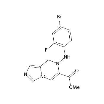 COC(=O)C1=C[N+]2C=NC=C2CN1Nc1ccc(Br)cc1F